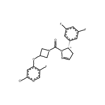 O=C(N1CC(Oc2cc(Cl)ncc2F)C1)N1N=CC[C@H]1c1cc(F)cc(F)c1